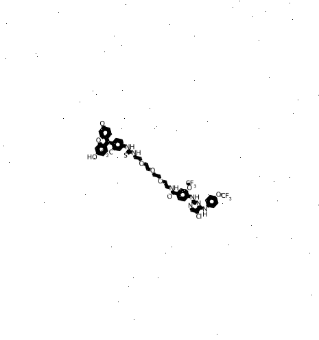 O=C(NCCOCCOCCOCCNC(=S)Nc1ccc(-c2c3ccc(=O)cc-3oc3cc(O)ccc23)c(C(=O)O)c1)c1ccc(Nc2ncc(Cl)c(Nc3ccc(OC(F)(F)F)cc3)n2)c(OC(F)(F)F)c1